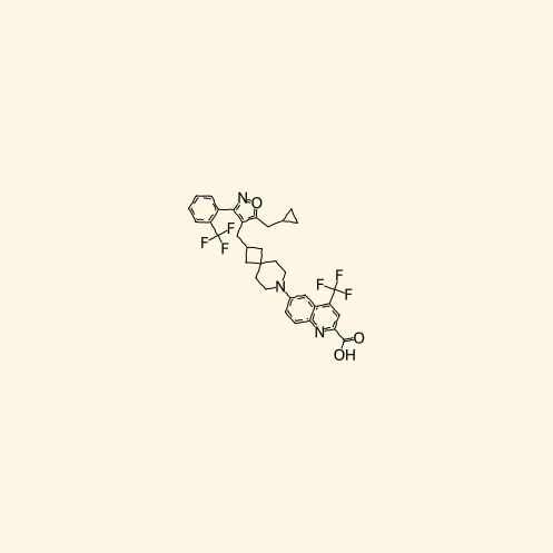 O=C(O)c1cc(C(F)(F)F)c2cc(N3CCC4(CC3)CC(Cc3c(-c5ccccc5C(F)(F)F)noc3CC3CC3)C4)ccc2n1